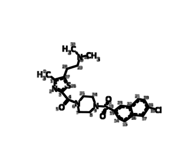 Cc1nc(C(=O)N2CCN(S(=O)(=O)c3ccc4cc(Cl)ccc4c3)CC2)sc1CCN(C)C